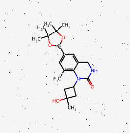 CC1(O)CC(N2C(=O)NCc3cc(B4OC(C)(C)C(C)(C)O4)cc(C(F)(F)F)c32)C1